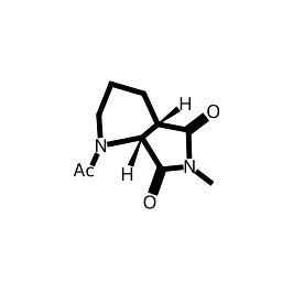 CC(=O)N1CCC[C@@H]2C(=O)N(C)C(=O)[C@@H]21